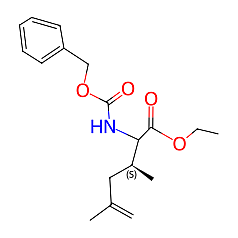 C=C(C)C[C@H](C)C(NC(=O)OCc1ccccc1)C(=O)OCC